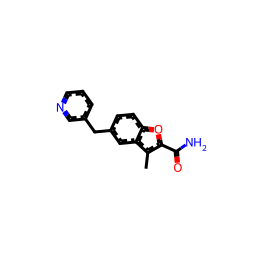 Cc1c(C(N)=O)oc2ccc(Cc3cccnc3)cc12